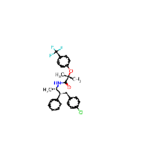 C[C@H](NC(=O)C(C)(C)Oc1ccc(C(F)(F)F)cc1)[C@@H](Cc1ccc(Cl)cc1)c1ccccc1